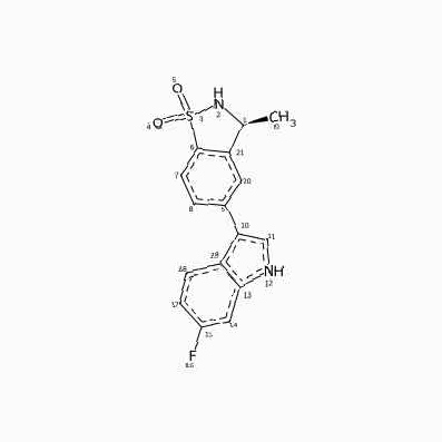 C[C@@H]1NS(=O)(=O)c2ccc(-c3c[nH]c4cc(F)ccc34)cc21